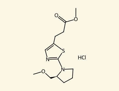 COC[C@@H]1CCCN1c1ncc(CCC(=O)OC)s1.Cl